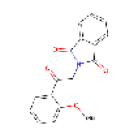 CCCCOc1ccccc1C(=O)CN1C(=O)c2ccccc2C1=O